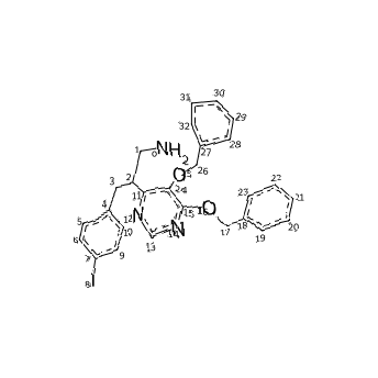 NCC(Cc1ccc(I)cc1)c1ncnc(OCc2ccccc2)c1OCc1ccccc1